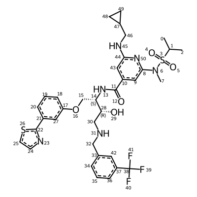 CC(C)S(=O)(=O)N(C)c1cc(C(=O)N[C@@H](COc2cccc(-c3nccs3)c2)[C@H](O)CNCc2cccc(C(F)(F)F)c2)cc(NCC2CC2)n1